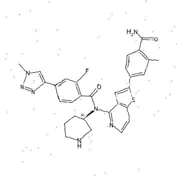 Cc1cc(-c2cc3c(N(C(=O)c4ccc(-c5cn(C)nn5)cc4F)[C@@H]4CCCNC4)nccc3s2)ccc1C(N)=O